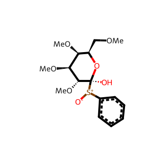 COC[C@H]1O[C@@](O)([S+]([O-])c2ccccc2)[C@H](OC)[C@@H](OC)[C@H]1OC